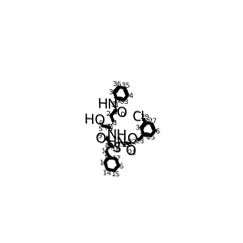 O=C(CC[C@@H](CO)NC(=O)[C@H](CC1CCCCC1)SNC(=O)OCc1cccc(Cl)c1)Nc1ccccc1